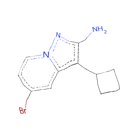 Nc1nn2ccc(Br)cc2c1C1CCC1